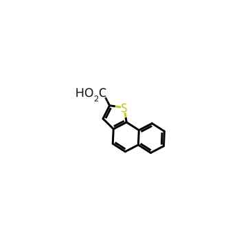 O=C(O)c1cc2ccc3ccccc3c2s1